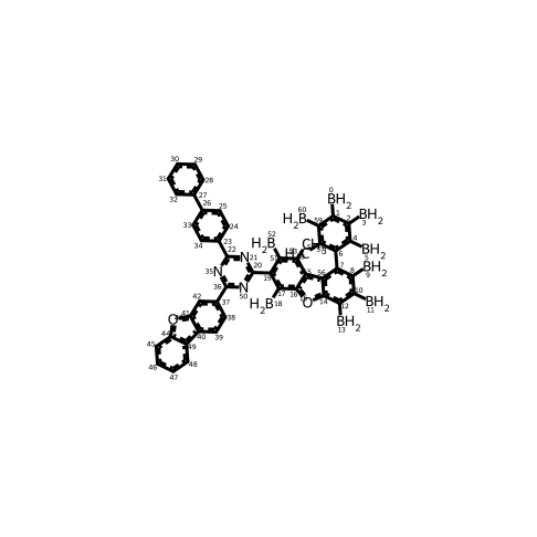 Bc1c(B)c(B)c(-c2c(B)c(B)c(B)c3oc4c(B)c(-c5nc(-c6ccc(-c7ccccc7)cc6)nc(-c6ccc7c(c6)oc6ccccc67)n5)c(B)c(C)c4c23)c(C)c1B